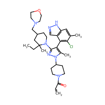 C=CC(=O)N1CCC(n2nc(N3CCC(CN4CCOCC4)CC3(C)CC)c(-c3c(Cl)c(C)cc4[nH]ncc34)c2C)CC1